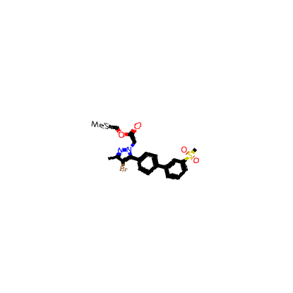 CSCOC(=O)Cn1nc(C)c(Br)c1-c1ccc(-c2cccc(S(C)(=O)=O)c2)cc1